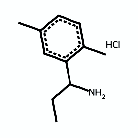 CCC(N)c1cc(C)ccc1C.Cl